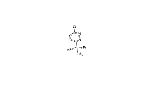 CCCCC(C)(CCC)c1ccc(Cl)nn1